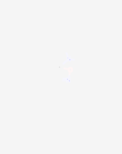 Brc1ccccc1C1=NOC2(N3CCCC3)CCCCC12